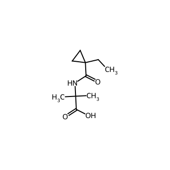 CCC1(C(=O)NC(C)(C)C(=O)O)CC1